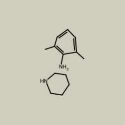 C1CCNCC1.Cc1cccc(C)c1N